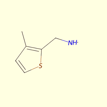 Cc1ccsc1C[NH]